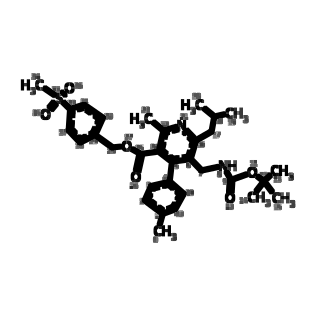 Cc1ccc(-c2c(CNC(=O)OC(C)(C)C)c(CC(C)C)nc(C)c2C(=O)OCc2ccc(S(C)(=O)=O)cc2)cc1